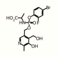 Cc1ncc(COP(=O)(NC(C)C(=O)O)Oc2ccc(Br)cc2F)c(CO)c1O